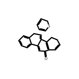 C1=CCSC=C1.O=C1C=C2C(=CCc3ccccc32)C2=C1C=CCC2